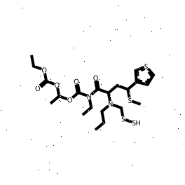 CCCN(CSS)C(CC(SC)c1ccsc1)C(=O)N(CC)C(=O)OC(C)OC(=O)OCC